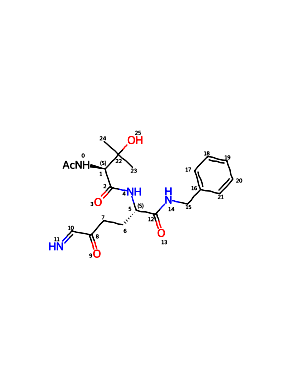 CC(=O)N[C@H](C(=O)N[C@@H](CCC(=O)C=N)C(=O)NCc1ccccc1)C(C)(C)O